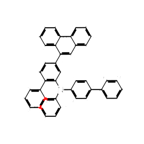 c1ccc(-c2ccc(N(c3ccccc3)c3cc(-c4cc5ccccc5c5ccccc45)ccc3-c3ccccc3)cc2)cc1